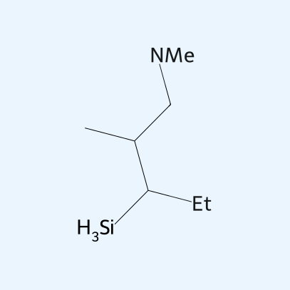 CCC([SiH3])C(C)CNC